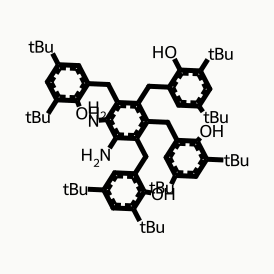 CC(C)(C)c1cc(Cc2c(N)c(N)c(Cc3cc(C(C)(C)C)cc(C(C)(C)C)c3O)c(Cc3cc(C(C)(C)C)cc(C(C)(C)C)c3O)c2Cc2cc(C(C)(C)C)cc(C(C)(C)C)c2O)c(O)c(C(C)(C)C)c1